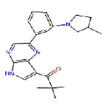 C[C]1CCN(c2cccc(-c3cnc4[nH]cc(C(=O)C(C)(C)C)c4n3)c2)C1